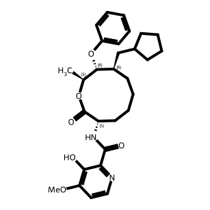 COc1ccnc(C(=O)N[C@H]2CCCC[C@H](CC3CCCC3)[C@@H](Oc3ccccc3)[C@H](C)OC2=O)c1O